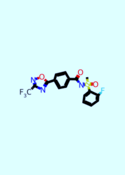 CS(=O)(=NC(=O)c1ccc(-c2nc(C(F)(F)F)no2)cc1)c1ccccc1F